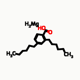 CCCCCCc1ccc(C(=O)O)c(CCCCCC)c1.[MgH2]